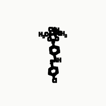 CC1(C)OB(c2ccc(NSc3ccc(Cl)cc3)cc2)OC1(C)C